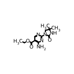 CCOC(=O)c1cnc(N2CC(C)(C)NC2=O)nc1N